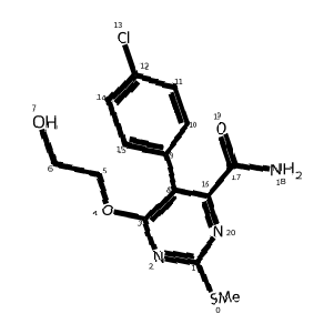 CSc1nc(OCCO)c(-c2ccc(Cl)cc2)c(C(N)=O)n1